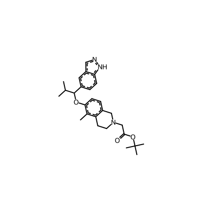 Cc1c(OC(c2ccc3[nH]ncc3c2)C(C)C)ccc2c1CCN(CC(=O)OC(C)(C)C)C2